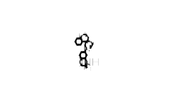 O=C1COc2ccc(N3CCOC4(CCOc5ccccc54)C3)cc2N1